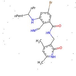 CCCCCC(CCC)Nc1cc(Br)cc(C(=O)NCc2c(C)cc(C)[nH]c2=O)c1C=N